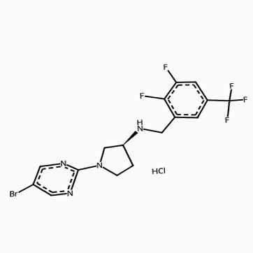 Cl.Fc1cc(C(F)(F)F)cc(CN[C@H]2CCN(c3ncc(Br)cn3)C2)c1F